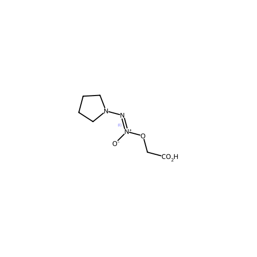 O=C(O)CO/[N+]([O-])=N/N1CCCC1